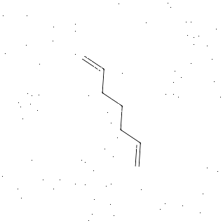 C=CCCCC=C